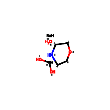 C1COCCN1.O.OBO.[NaH]